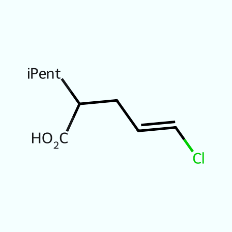 CCCC(C)C(CC=CCl)C(=O)O